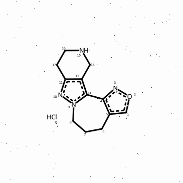 Cl.c1onc2c1CCCn1nc3c(c1-2)CNCC3